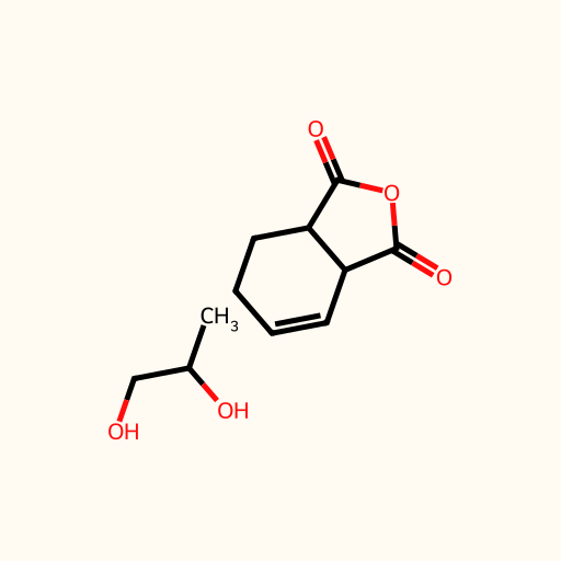 CC(O)CO.O=C1OC(=O)C2CCC=CC12